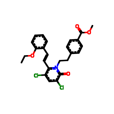 CCOc1ccccc1C=Cc1c(Cl)cc(Cl)c(=O)n1CCc1ccc(C(=O)OC)cc1